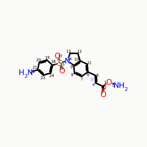 NOC(=O)/C=C/c1ccc2c(c1)CCN2S(=O)(=O)c1ccc(N)cc1